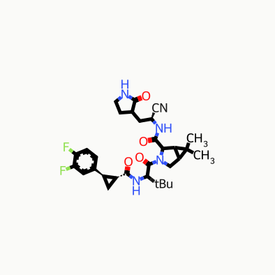 CC(C)(C)C(NC(=O)[C@@H]1C[C@H]1c1ccc(F)c(F)c1)C(=O)N1CC2C(C1C(=O)N[C@H](C#N)CC1CCNC1=O)C2(C)C